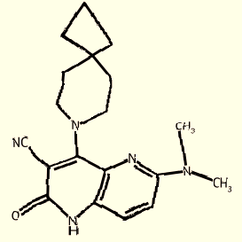 CN(C)c1ccc2[nH]c(=O)c(C#N)c(N3CCC4(CCC4)CC3)c2n1